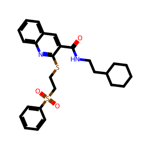 O=C(NCCC1CCCCC1)c1cc2ccccc2nc1SCCS(=O)(=O)c1ccccc1